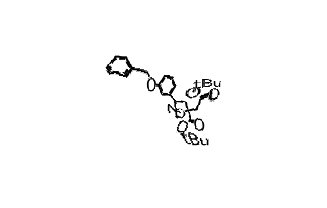 CC(C)(C)OC(=O)CC1(C(=O)OC(C)(C)C)CC(c2cccc(OCc3ccccc3)c2)=NO1